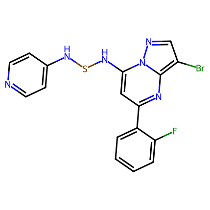 Fc1ccccc1-c1cc(NSNc2ccncc2)n2ncc(Br)c2n1